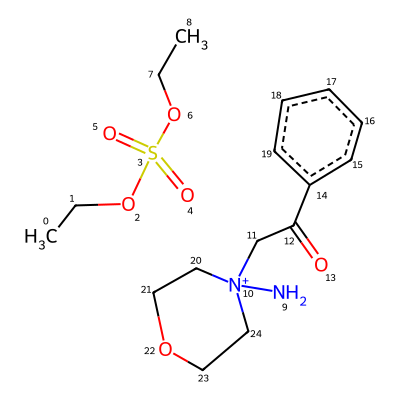 CCOS(=O)(=O)OCC.N[N+]1(CC(=O)c2ccccc2)CCOCC1